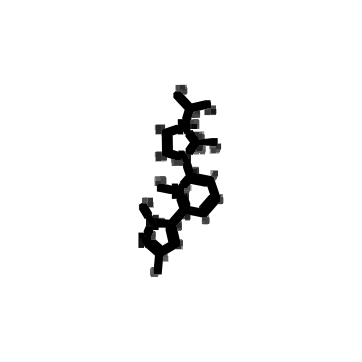 Cc1cc(-c2cccc(N3C=CN(C(C)C)[C@H]3C)[n+]2C)n(C)n1